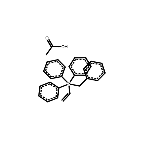 C=CP(Cc1ccccc1)(c1ccccc1)(c1ccccc1)c1ccccc1.CC(=O)O